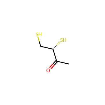 CC(=O)[C@@H](S)CS